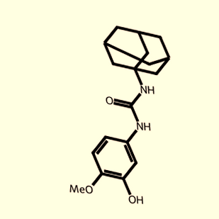 COc1ccc(NC(=O)NC23CC4CC(CC(C4)C2)C3)cc1O